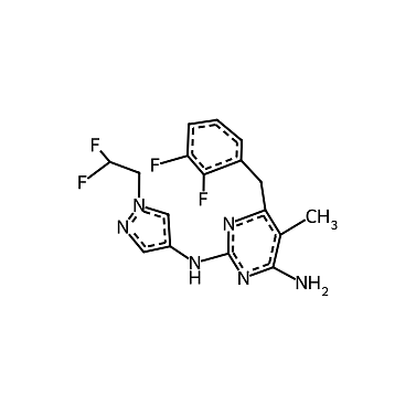 Cc1c(N)nc(Nc2cnn(CC(F)F)c2)nc1Cc1cccc(F)c1F